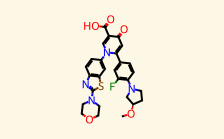 CO[C@@H]1CCN(c2ccc(-c3cc(=O)c(C(=O)O)cn3-c3ccc4nc(N5CCOCC5)sc4c3)cc2F)C1